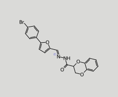 O=C(N/N=C/c1ccc(-c2ccc(Br)cc2)o1)C1COc2ccccc2O1